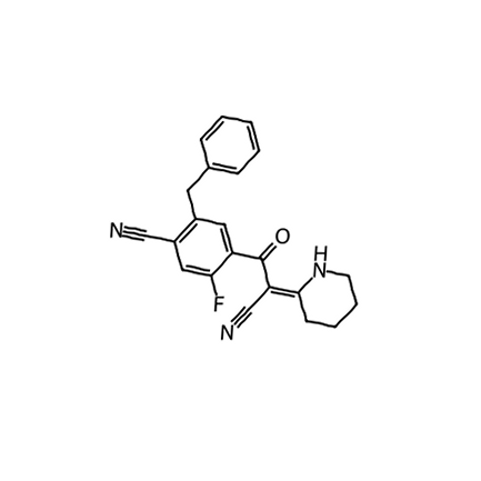 N#CC(C(=O)c1cc(Cc2ccccc2)c(C#N)cc1F)=C1CCCCN1